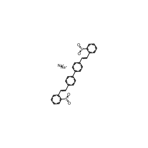 O=[S-](=O)c1ccccc1C=Cc1ccc(-c2ccc(C=Cc3ccccc3[S-](=O)=O)cc2)cc1.[Na+].[Na+]